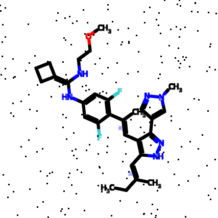 CC/C(C)=C/c1[nH]nc(-c2cnn(C)c2)c1/C=C(\C)c1c(F)cc(NC(NCCOC)=C2CCC2)cc1F